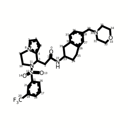 O=C(CC1c2cccn2CCN1S(=O)(=O)c1cccc(C(F)(F)F)c1)NC1CCc2cc(CN3CCOCC3)ccc2C1